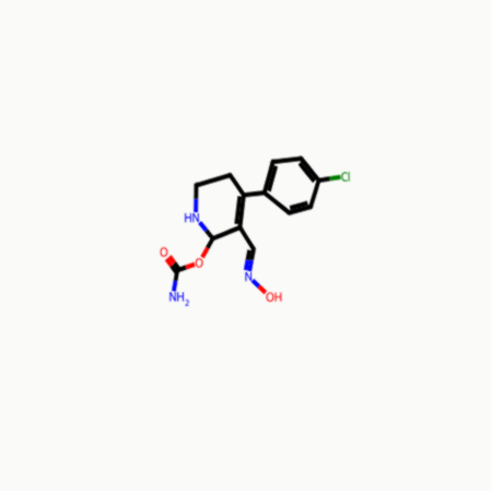 NC(=O)OC1NCCC(c2ccc(Cl)cc2)=C1C=NO